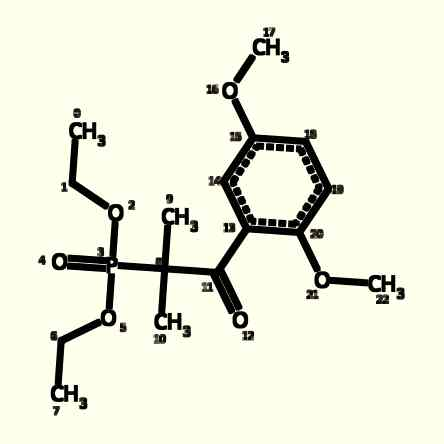 CCOP(=O)(OCC)C(C)(C)C(=O)c1cc(OC)ccc1OC